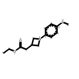 CCOC(=O)CC1CN(c2ccc(SC)cc2)C1